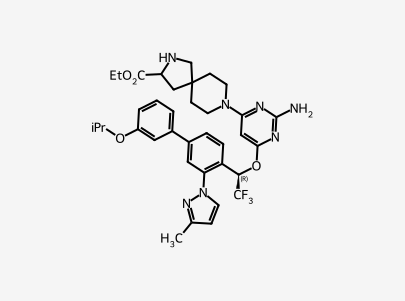 CCOC(=O)C1CC2(CCN(c3cc(O[C@H](c4ccc(-c5cccc(OC(C)C)c5)cc4-n4ccc(C)n4)C(F)(F)F)nc(N)n3)CC2)CN1